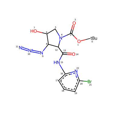 CC(C)(C)OC(=O)N1CC(O)C(N=[N+]=[N-])C1C(=O)Nc1cccc(Br)n1